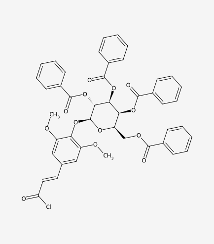 COc1cc(C=CC(=O)Cl)cc(OC)c1O[C@@H]1O[C@H](COC(=O)c2ccccc2)[C@H](OC(=O)c2ccccc2)[C@H](OC(=O)c2ccccc2)[C@H]1OC(=O)c1ccccc1